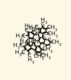 Cc1ccc2c3c4c5c(c2c1)c1c(C)c(C)c(C)c(C)c1n5-c1c(C)c(C)c(C)c(C)c1B4n1c2c(C)c(C)c(C)c(C)c2c2c(C)c(C)c(C)c-3c21